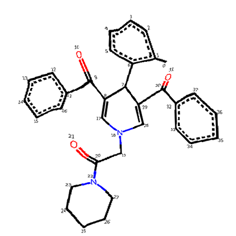 Cc1ccccc1C1C(C(=O)c2ccccc2)=CN(CC(=O)N2CCCCC2)C=C1C(=O)c1ccccc1